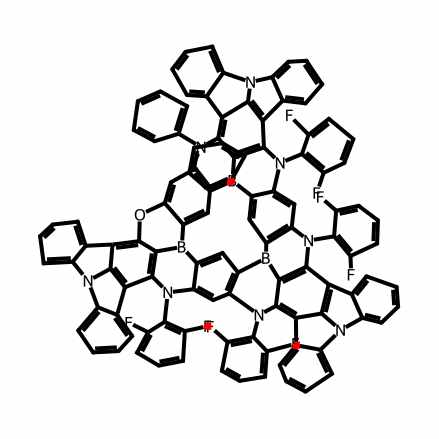 Fc1cccc(F)c1N1c2cc3c(cc2B2c4ccccc4Oc4c2c1c1c2ccccc2n2c5ccccc5c4c12)B1c2cc4c(cc2N(c2c(F)cccc2F)c2c1c(c1c5ccccc5n5c6ccccc6c2c15)N3c1c(F)cccc1F)N(c1c(F)cccc1F)c1c2c(c3c5ccccc5n5c6ccccc6c1c35)N(c1ccccc1)c1ccccc1B42